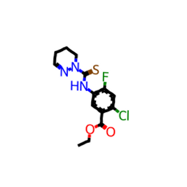 CCOC(=O)c1cc(NC(=S)N2CCCC=N2)c(F)cc1Cl